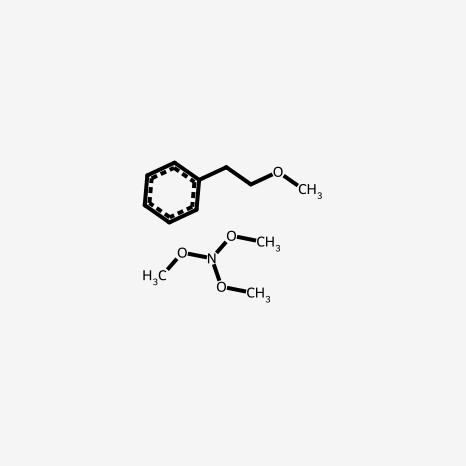 COCCc1ccccc1.CON(OC)OC